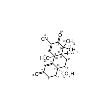 [C-]#[N+]C1=C[C@]2(C)C3=CC(=O)CC[C@]3(C(=O)O)CC[C@H]2C(C)(C)C1=O